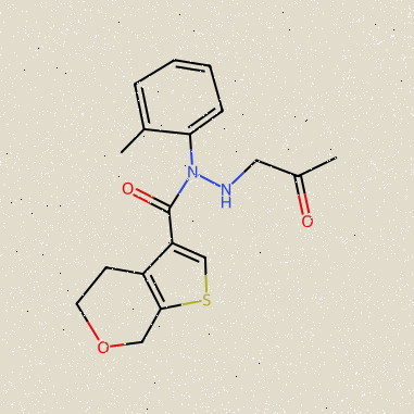 CC(=O)CNN(C(=O)c1csc2c1CCOC2)c1ccccc1C